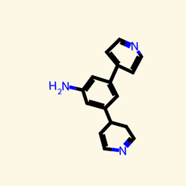 Nc1cc(-c2ccncc2)cc(C2C=CN=CC2)c1